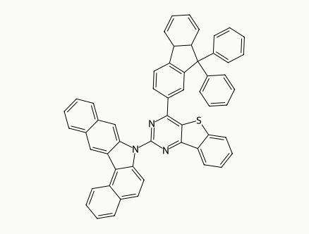 C1=CC2c3ccc(-c4nc(-n5c6cc7ccccc7cc6c6c7ccccc7ccc65)nc5c4sc4ccccc45)cc3C(c3ccccc3)(c3ccccc3)C2C=C1